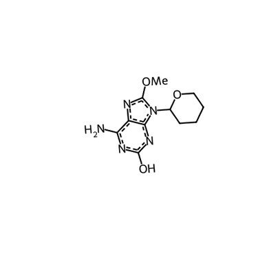 COc1nc2c(N)nc(O)nc2n1C1CCCCO1